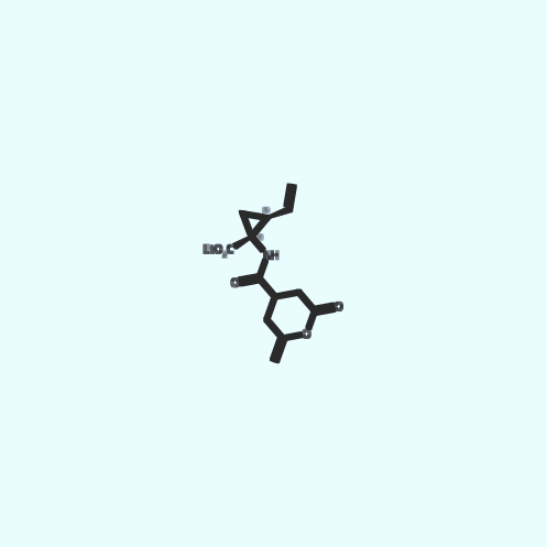 C=C[C@@H]1C[C@]1(NC(=O)C1CC(=C)OC(=O)C1)C(=O)OCC